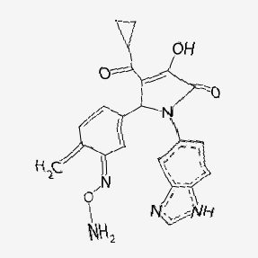 C=C1C=CC(C2C(C(=O)C3CC3)=C(O)C(=O)N2c2ccc3[nH]cnc3c2)=C/C1=N/ON